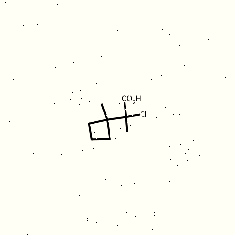 CC1(C(C)(Cl)C(=O)O)CCC1